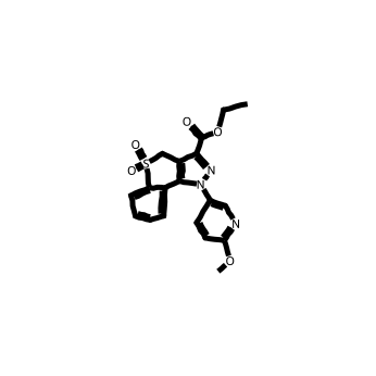 CCOC(=O)c1nn(-c2ccc(OC)nc2)c2c1CS(=O)(=O)c1ccccc1-2